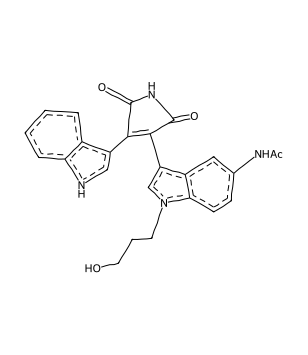 CC(=O)Nc1ccc2c(c1)c(C1=C(c3c[nH]c4ccccc34)C(=O)NC1=O)cn2CCCO